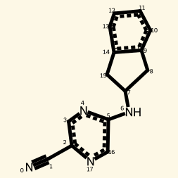 N#Cc1cnc(NC2Cc3ccccc3C2)cn1